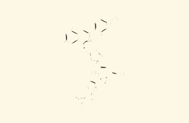 C=C[C@@H]1C[C@]1(NC(=O)C1C[C@@H](Oc2nc(-c3ccc(C#N)cc3)cc3ccccc23)CN1)C(=O)BS(=O)(=O)C1CC1